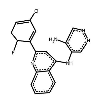 Nc1cnncc1Nc1cc(C2=CC(Cl)=CCC2F)nc2ccccc12